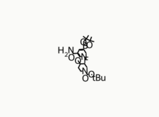 CC(C)(C)OC(=O)N1CCC(Oc2ncc(B3OC(C)(C)C(C)(C)O3)cc2C(N)=O)C(F)C1